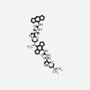 CN(C)[C@@H]1COc2c(S(=O)(=O)NC(=O)Nc3c4c(c(N(C)[C@H]5COc6c(S(=O)(=O)NC(=O)Nc7c8c(cc9c7CCC9)CCC8)cnn6C5)c5c3CCC5)CCC4)cnn2C1